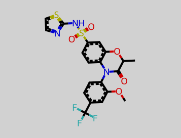 COc1cc(C(F)(F)F)ccc1N1C(=O)C(C)Oc2cc(S(=O)(=O)Nc3nccs3)ccc21